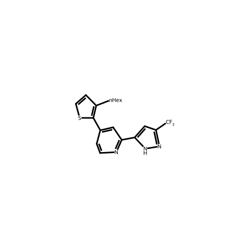 CCCCCCc1ccsc1-c1ccnc(-c2cc(C(F)(F)F)n[nH]2)c1